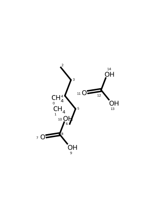 C.C.CCCCC.O=C(O)O.O=C(O)O